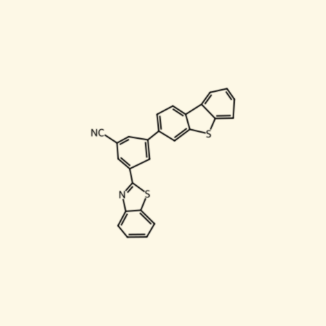 N#Cc1cc(-c2ccc3c(c2)sc2ccccc23)cc(-c2nc3ccccc3s2)c1